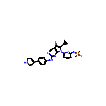 CS(C)(=O)=Nc1cccc(-n2c(C3CC3)c(F)c3cnc(Nc4ccc(C5=CCNCC5)cc4)nc32)n1